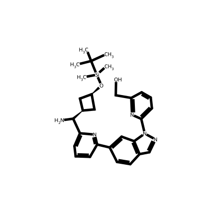 CC(C)(C)[Si](C)(C)O[C@H]1C[C@@H](C(N)c2cccc(-c3ccc4cnn(-c5cccc(CO)n5)c4c3)n2)C1